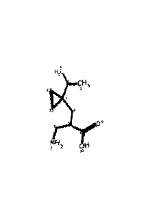 CC(C)C1(CC(CN)C(=O)O)CC1